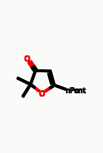 CCCCCC1=CC(=O)C(C)(C)O1